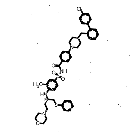 Cc1cc(S(=O)(=O)NC(=O)c2ccc(N3CCC(Cc4ccccc4-c4ccc(Cl)cc4)CC3)cc2)ccc1N[C@H](CCN1CCOCC1)CSc1ccccc1